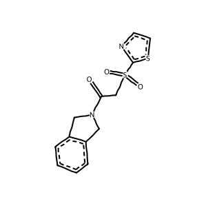 O=C(CS(=O)(=O)c1nccs1)N1Cc2ccccc2C1